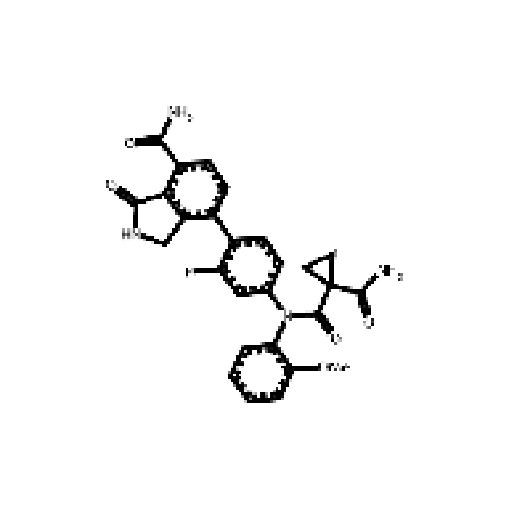 COc1ccccc1N(C(=O)C1(C(N)=O)CC1)c1ccc(-c2ccc(C(N)=O)c3c2CNC3=O)c(F)c1